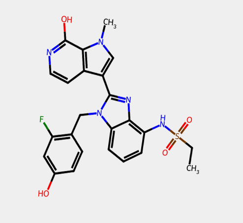 CCS(=O)(=O)Nc1cccc2c1nc(-c1cn(C)c3c(O)nccc13)n2Cc1ccc(O)cc1F